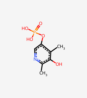 Cc1ncc(OP(=O)(O)O)c(C)c1O